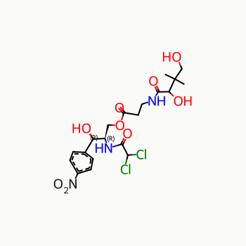 CC(C)(CO)C(O)C(=O)NCCC(=O)OC[C@@H](NC(=O)C(Cl)Cl)[C@H](O)c1ccc([N+](=O)[O-])cc1